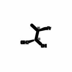 CCC[C@H](C)[C@H](O)C=O